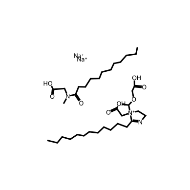 CCCCCCCCCCCC(=O)N(C)CC(=O)O.CCCCCCCCCCCCC1=NCC[N+]1(CC(=O)O)C(C)OCC(=O)O.[Na+].[Na+]